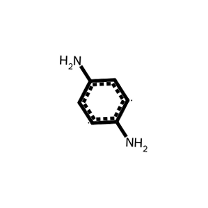 Nc1[c]cc(N)c[c]1